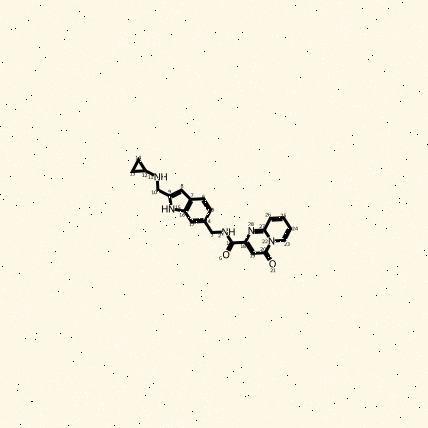 O=C(NCc1ccc2cc(CNC3CC3)[nH]c2c1)c1cc(=O)n2ccccc2n1